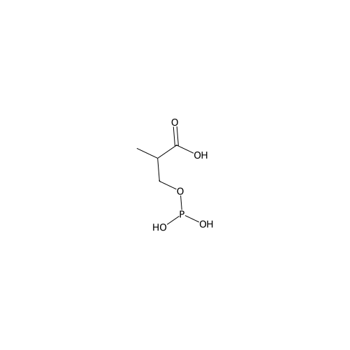 CC(COP(O)O)C(=O)O